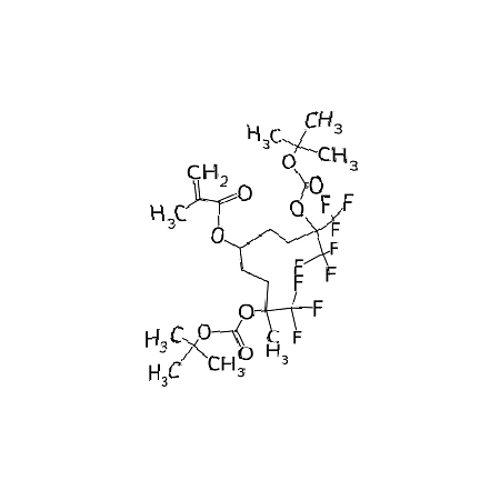 C=C(C)C(=O)OC(CCC(C)(OC(=O)OC(C)(C)C)C(F)(F)F)CCC(OC(=O)OC(C)(C)C)(C(F)(F)F)C(F)(F)F